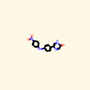 O=c1cnc(-c2ccc(Nc3ccc([N+](=O)[O-])cc3)cc2)c[nH]1